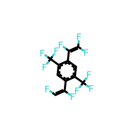 F/C=C(/F)c1cc(C(F)(F)F)c(C(F)=C(F)F)cc1C(F)(F)F